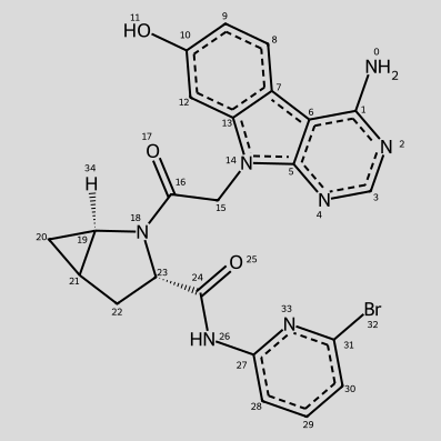 Nc1ncnc2c1c1ccc(O)cc1n2CC(=O)N1[C@@H]2CC2C[C@H]1C(=O)Nc1cccc(Br)n1